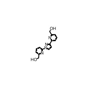 OCc1cccc(-c2ccn(-c3cccc(CO)n3)n2)n1